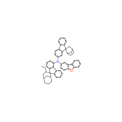 CCC1CC2CCCC(C2)C12c1ccccc1-c1c(N(c3ccc4c(c3)C3(CC5CCC3C5)c3ccccc3-4)c3ccc4oc5ccccc5c4c3)cccc12